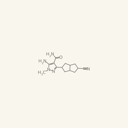 Cn1nc(C2CC3CC(C#N)CC3C2)c(C(N)=O)c1N